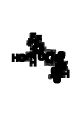 CS(=O)(=O)Nc1ccn(C(=O)N2CCC(Oc3ccc(C(F)(F)F)cc3NCCO)CC2)n1